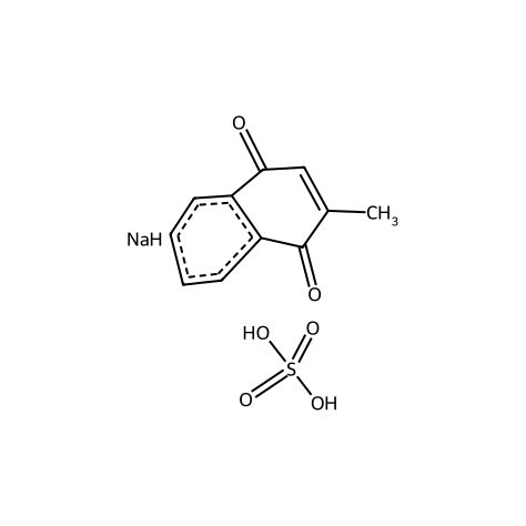 CC1=CC(=O)c2ccccc2C1=O.O=S(=O)(O)O.[NaH]